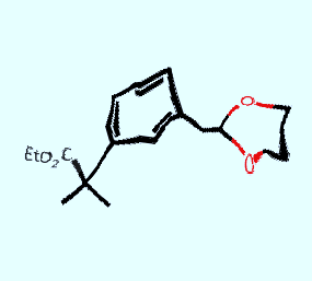 CCOC(=O)C(C)(C)c1cccc(C2OCCO2)c1